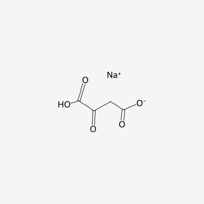 O=C([O-])CC(=O)C(=O)O.[Na+]